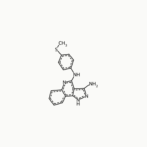 CSc1ccc(Nc2nc3ccccc3c3[nH]nc(N)c23)cc1